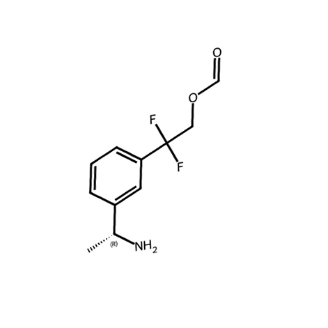 C[C@@H](N)c1cccc(C(F)(F)COC=O)c1